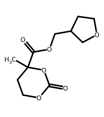 CC1(C(=O)OCC2CCOC2)CCOC(=O)O1